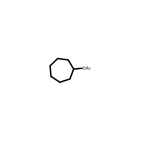 CC(=O)OC1CCCCCC1